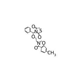 Cc1ccc2c(c1)OCN(CCOC(c1ccccc1)N1C(=O)CSC1=O)C2=O